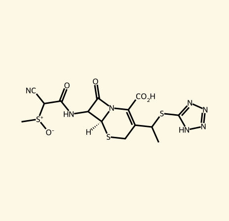 CC(Sc1nnn[nH]1)C1=C(C(=O)O)N2C(=O)C(NC(=O)C(C#N)[S+](C)[O-])[C@@H]2SC1